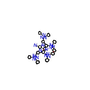 N#Cc1cc(-n2c3ccc(-c4nc(-c5ccccc5)nc(-c5ccccc5)n4)cc3c3cc(-c4nc(-c5ccccc5)nc(-c5ccccc5)n4)ccc32)c(-c2ccncc2)c(-n2c3ccc(-c4nc(-c5ccccc5)nc(-c5ccccc5)n4)cc3c3cc(-c4nc(-c5ccccc5)nc(-c5ccccc5)n4)ccc32)c1